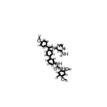 CNc1cc(-n2cc(-c3ccc(OC)cc3)c3ccc(-c4cccc(NC(=O)Nc5cc(C)c(OC)cc5OC)c4)cc32)ncn1